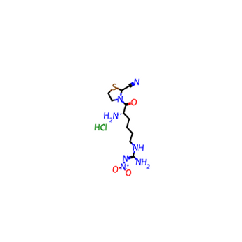 Cl.N#CC1SCCN1C(=O)[C@@H](N)CCCCNC(N)=N[N+](=O)[O-]